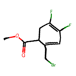 COC(=O)C1CC(F)=C(F)C=C1CBr